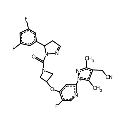 Cc1nn(-c2cc(OC3CN(C(=O)N4N=CCC4c4cc(F)cc(F)c4)C3)c(F)cn2)c(C)c1CC#N